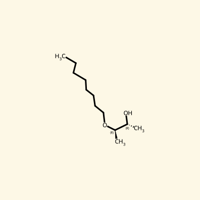 CCCCCCCCO[C@H](C)[C@@H](C)O